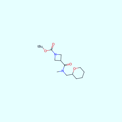 CN(CC1CCCCO1)C(=O)C1CN(C(=O)OC(C)(C)C)C1